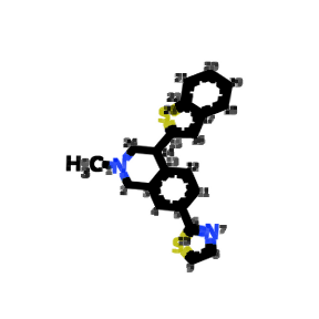 CN1Cc2cc(-c3nccs3)ccc2C(c2cc3ccccc3s2)C1